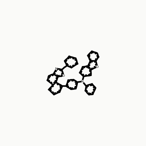 c1ccc(-c2nc3ccc4cccc(-c5ccc(N(c6ccccc6)c6ccc7c(c6)oc6ccccc67)cc5)c4c3o2)cc1